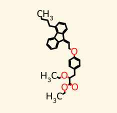 CCCCc1cccc2c1-c1ccccc1C2=CCOc1ccc(CC(OCC)C(=O)OCC)cc1